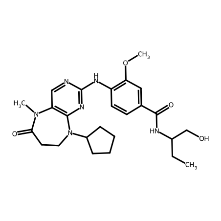 CCC(CO)NC(=O)c1ccc(Nc2ncc3c(n2)N(C2CCCC2)CCC(=O)N3C)c(OC)c1